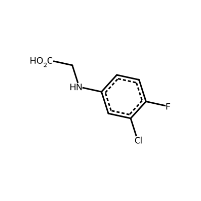 O=C(O)CNc1ccc(F)c(Cl)c1